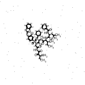 CC[C@H](N)C(=O)C(=O)NC(=O)CN(C(=O)[C@H](CC1CCCCC1)NC(=O)[C@@H](NC(=O)[C@H](CC(C)C)NC(=O)c1cnccn1)[C@@H](C)CC)S(=O)(=O)c1ccc(Sc2nc3ccccc3o2)c(Cl)c1